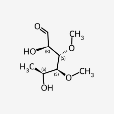 CO[C@H]([C@@H](OC)[C@@H](O)C=O)[C@H](C)O